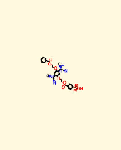 [C-]#[N+]/C(C#N)=c1/cc(OCCOC(=O)c2ccc(S(=O)(=O)O)cc2)/c(=C(\C#N)[N+]#[C-])cc1OCCOC(=O)c1ccccc1